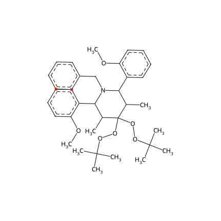 COc1ccccc1C1C(C)C(OOC(C)(C)C)(OOC(C)(C)C)C(C)C(c2ccccc2OC)N1Cc1ccccc1